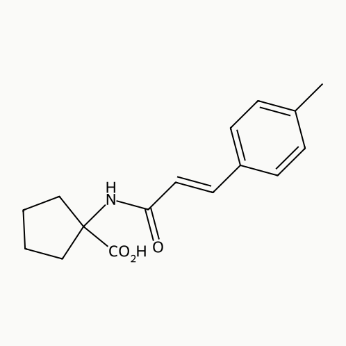 Cc1ccc(C=CC(=O)NC2(C(=O)O)CCCC2)cc1